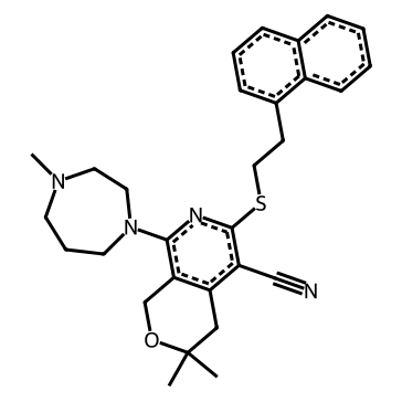 CN1CCCN(c2nc(SCCc3cccc4ccccc34)c(C#N)c3c2COC(C)(C)C3)CC1